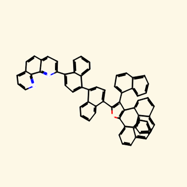 c1ccc2c(-c3oc(-c4ccc(-c5ccc(-c6ccc7ccc8cccnc8c7n6)c6ccccc56)c5ccccc45)c(-c4cccc5ccccc45)c3-c3cccc4ccccc34)cccc2c1